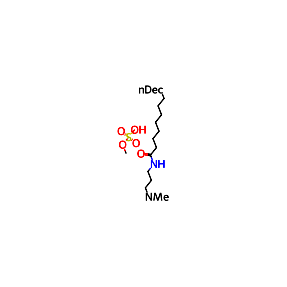 CCCCCCCCCCCCCCCCCC(=O)NCCCNC.COS(=O)(=O)O